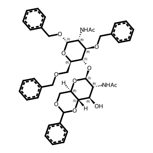 CC(=O)N[C@H]1[C@H](O[C@H]2[C@H](OCc3ccccc3)[C@@H](NC(C)=O)[C@@H](OCc3ccccc3)O[C@@H]2COCc2ccccc2)O[C@@H]2COC(c3ccccc3)O[C@H]2[C@@H]1O